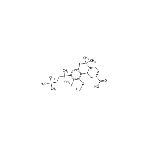 COc1c(I)c(C(C)(C)CCC(C)(C)C)cc2c1C1CC(C(=O)O)=CC=C1C(C)(C)O2